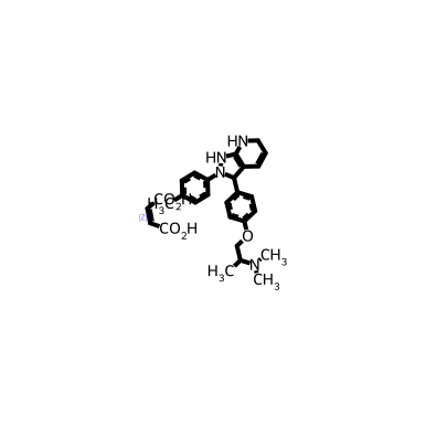 Cc1ccc(N2NC3=C(C=CCN3)C2c2ccc(OCC(C)N(C)C)cc2)cc1.O=C(O)/C=C\C(=O)O